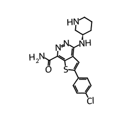 NC(=O)c1nnc(N[C@@H]2CCCNC2)c2cc(-c3ccc(Cl)cc3)sc12